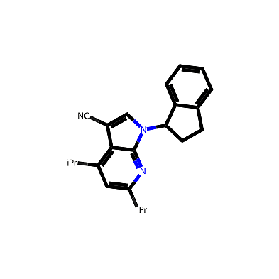 CC(C)c1cc(C(C)C)c2c(C#N)cn(C3CCc4ccccc43)c2n1